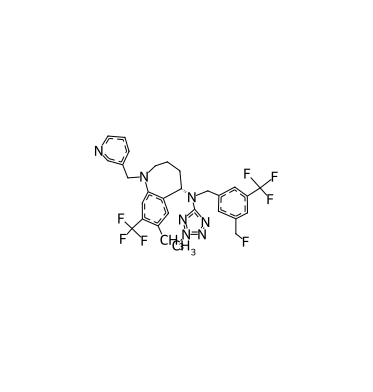 Cc1cc2c(cc1C(F)(F)F)N(Cc1cccnc1)CCC[C@@H]2N(Cc1cc(CF)cc(C(F)(F)F)c1)c1nnn(C)n1